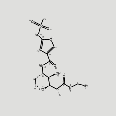 CC(C)CNC(=O)[C@H](C)[C@@H](O)[C@H](O)[C@H](CC(C)C)NC(=O)c1coc(NS(C)(=O)=O)n1